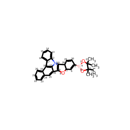 CC1(C)OB(C2=CC3Oc4c(n5c6ccccc6c6c7ccccc7cc4c65)C3C=C2)OC1(C)C